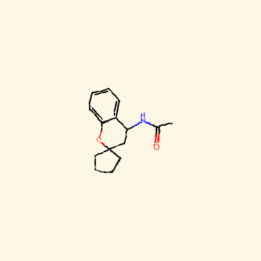 CC(=O)NC1CC2(CCCC2)Oc2ccccc21